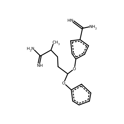 CC(CCC(Oc1ccccc1)Oc1ccc(C(=N)N)cc1)C(=N)N